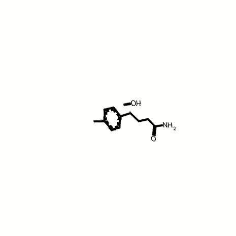 CO.Cc1ccc(CCCC(N)=O)cc1